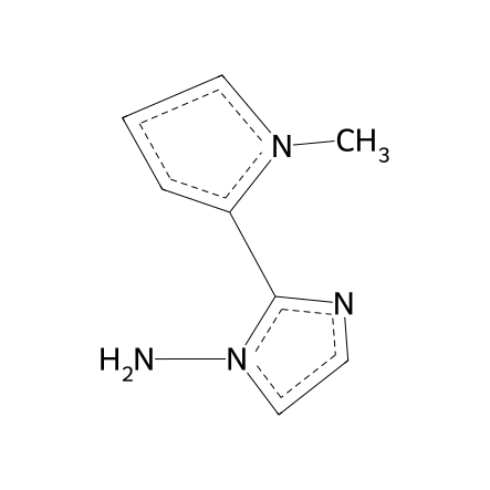 Cn1cccc1-c1nccn1N